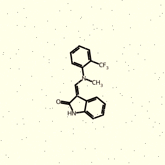 CN(/C=C1/C(=O)Nc2ccccc21)c1ccccc1C(F)(F)F